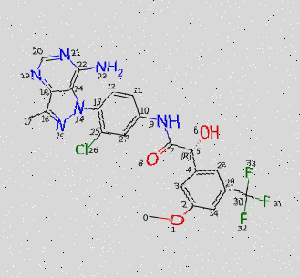 COc1cc([C@@H](O)C(=O)Nc2ccc(-n3nc(C)c4ncnc(N)c43)c(Cl)c2)cc(C(F)(F)F)c1